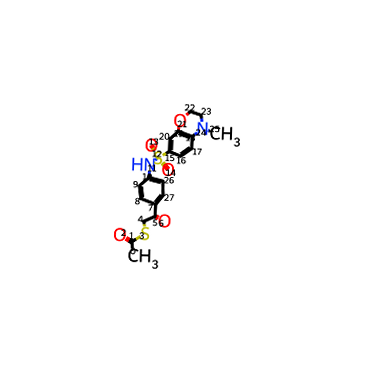 CC(=O)SCC(=O)c1ccc(NS(=O)(=O)c2ccc3c(c2)OCCN3C)cc1